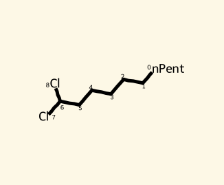 CCCCCCCCCCC(Cl)Cl